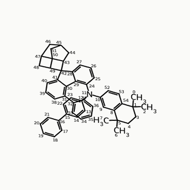 CC1(C)CCC(C)(C)c2cc(N(c3ccc(-c4ccccc4)cc3)c3cccc4c3-c3c(-c5ccccc5)cccc3C43C4CC5CC6CC3C64C5)ccc21